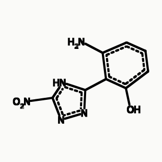 Nc1cccc(O)c1-c1nnc([N+](=O)[O-])[nH]1